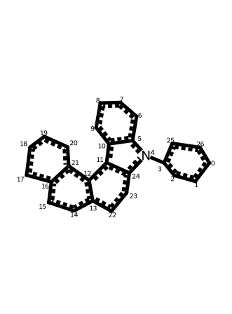 c1ccc(-n2c3ccccc3c3c4c(ccc5ccccc54)ccc32)cc1